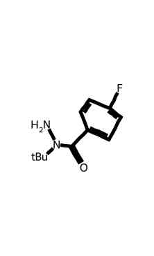 CC(C)(C)N(N)C(=O)c1ccc(F)cc1